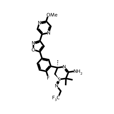 COc1cnc(-c2cc(-c3ccc(F)c([C@]4(C)C[S@](=NCC(F)(F)F)C(C)(C)C(N)=N4)c3)on2)cn1